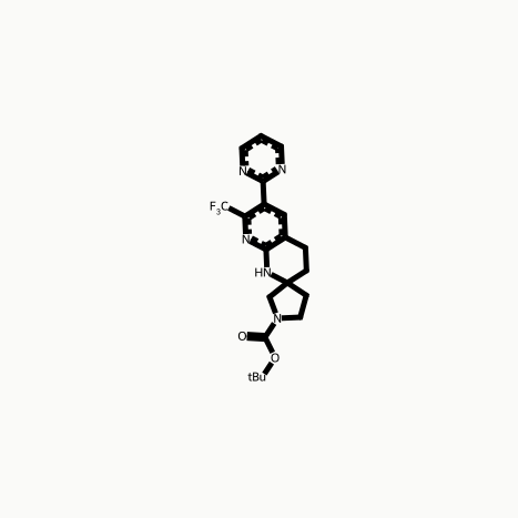 CC(C)(C)OC(=O)N1CCC2(CCc3cc(-c4ncccn4)c(C(F)(F)F)nc3N2)C1